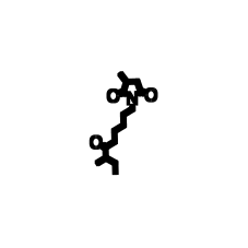 CCC(C)C(=O)CCCCCN1C(=O)CC(C)C1=O